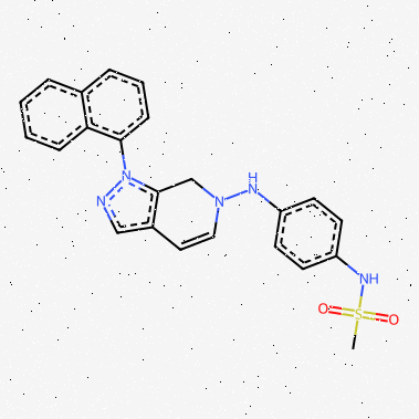 CS(=O)(=O)Nc1ccc(NN2C=Cc3cnn(-c4cccc5ccccc45)c3C2)cc1